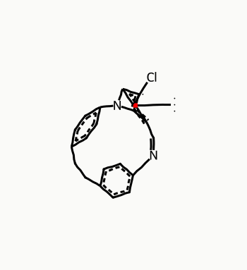 [C]c1c(Cl)c2[c]c3c1C=Nc1ccc(cc1)CCc1ccc(cc1)N23